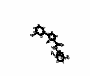 Cn1c(C(=O)N[C@@H]2C[C@H]3CC[C@@H]2N3)ccc1-c1cccc(F)c1